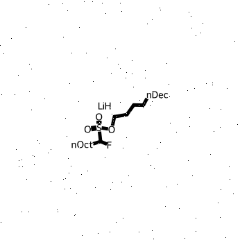 CCCCCCCCCCCCCCOS(=O)(=O)C(F)CCCCCCCC.[LiH]